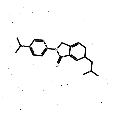 CC(C)CC1C=C2C(=O)N(c3ccc(C(C)C)cc3)CC2=CC1